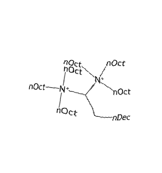 CCCCCCCCCCCC([N+](CCCCCCCC)(CCCCCCCC)CCCCCCCC)[N+](CCCCCCCC)(CCCCCCCC)CCCCCCCC